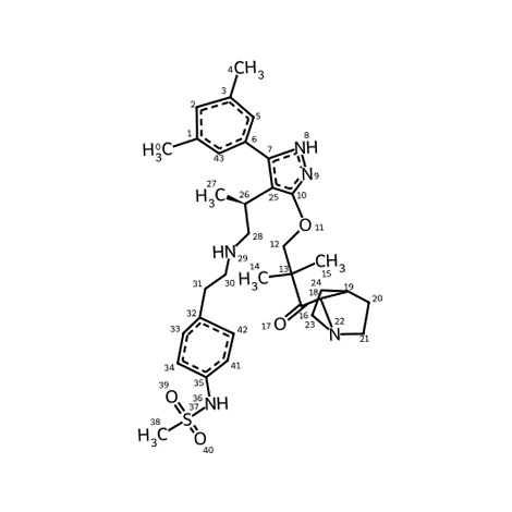 Cc1cc(C)cc(-c2[nH]nc(OCC(C)(C)C(=O)C3C4CCN3CC4)c2[C@H](C)CNCCc2ccc(NS(C)(=O)=O)cc2)c1